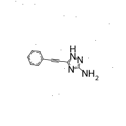 Nc1n[nH]c(C#Cc2ccccc2)n1